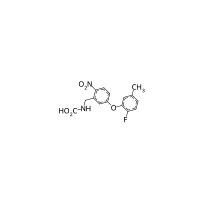 Cc1ccc(F)c(Oc2ccc([N+](=O)[O-])c(CNC(=O)O)c2)c1